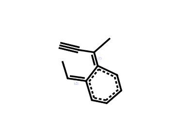 C#C/C(C)=c1/cccc/c1=C/C